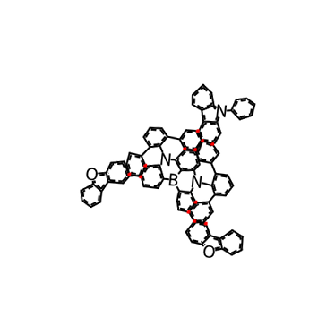 c1ccc(-c2cccc(-c3ccccc3)c2N2c3cc(-c4ccc5oc6ccccc6c5c4)ccc3B3c4ccc(-c5ccc6oc7ccccc7c6c5)cc4N(c4c(-c5ccccc5)cccc4-c4ccccc4)c4cc(-c5ccc6c(c5)c5ccccc5n6-c5ccccc5)cc2c43)cc1